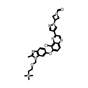 Cc1nc2ccc(Oc3ccc4ncc(-c5cnn(C6CN(C=O)C6)c5)nc4c3Cl)cc2n1COCC[Si](C)(C)C